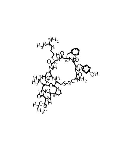 CC[C@H](C)[C@H](NC(=O)[C@@H]1CCCN1C(=O)[C@@H]1CSSC[C@H](N)C(=O)N[C@@H](Cc2ccc(O)cc2)C(=O)N[C@@H](Cc2ccccc2)C(=O)N[C@@H](CCCN=C(N)N)C(=O)N[C@@H](CC(N)=O)C(=O)N1)C(=O)NCC(N)=O